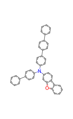 c1ccc(-c2ccc(-c3ccc(N(c4ccc(-c5ccccc5)cc4)c4ccc5c(c4)oc4ccccc45)cc3)cc2)cc1